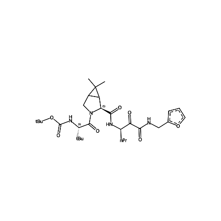 CCCC(NC(=O)[C@@H]1C2C(CN1C(=O)[C@@H](NC(=O)OC(C)(C)C)C(C)(C)C)C2(C)C)C(=O)C(=O)NCc1ccco1